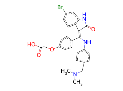 CN(C)Cc1ccc(N/C(=C2\C(=O)Nc3cc(Br)ccc32)c2ccc(OCC(=O)O)cc2)cc1